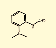 CN(C)c1ccccc1N[C]=O